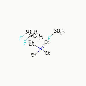 CC[N+](CC)(CC)CC.O=S(=O)(O)F.O=S(=O)(O)F.O=S(=O)(O)F